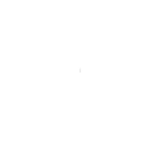 CC(C)(O)C(C)(C)OB(O)c1cc(C(F)(F)F)cc2[nH]ccc12